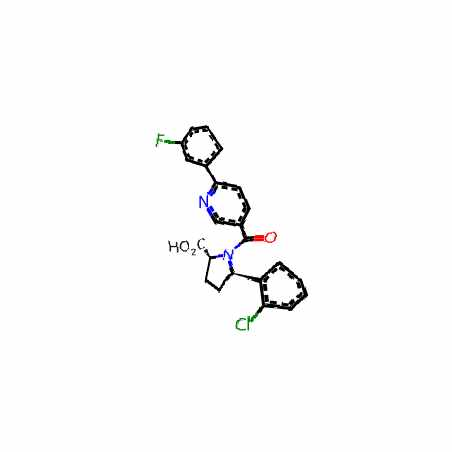 O=C(O)[C@@H]1CC[C@H](c2ccccc2Cl)N1C(=O)c1ccc(-c2cccc(F)c2)nc1